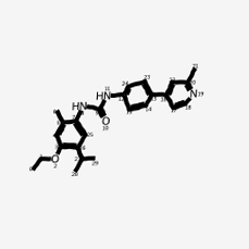 CCOc1cc(C)c(NC(=O)Nc2ccc(-c3ccnc(C)c3)cc2)cc1C(C)C